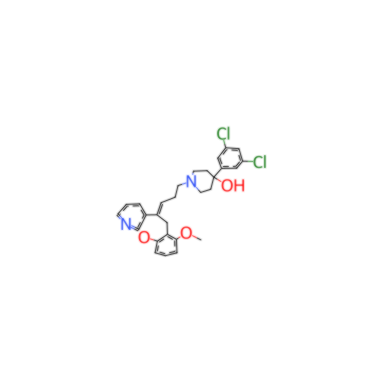 COc1cccc2c1CC(=CCCN1CCC(O)(c3cc(Cl)cc(Cl)c3)CC1)c1cccnc1O2